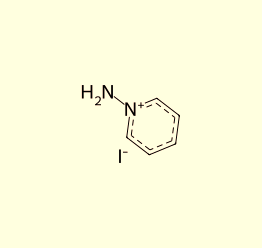 N[n+]1ccccc1.[I-]